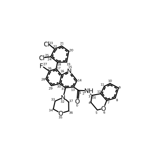 O=C(N[C@H]1CCOc2ccccc21)c1cnc2c(-c3cccc(Cl)c3Cl)c(F)ccc2c1N1CCOCC1